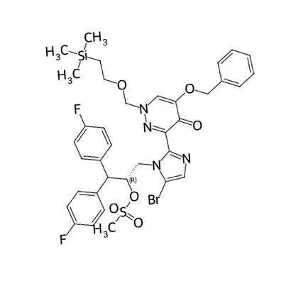 C[Si](C)(C)CCOCn1cc(OCc2ccccc2)c(=O)c(-c2ncc(Br)n2C[C@H](OS(C)(=O)=O)C(c2ccc(F)cc2)c2ccc(F)cc2)n1